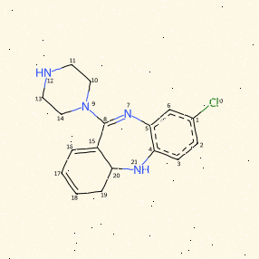 Clc1ccc2c(c1)N=C(N1CCNCC1)C1=CC=CCC1N2